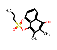 CCCS(=O)(=O)Oc1c(C)c(C)c(O)c2ccccc12